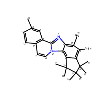 [2H]c1c2c(c3c(nc4c5cc(C)ccc5ccn43)c1[2H])C(C)(C)C(C)(C)C2(C)C